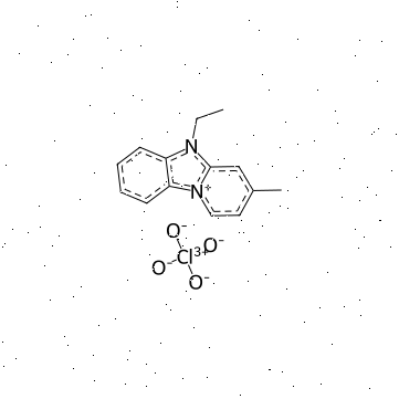 CCn1c2ccccc2[n+]2ccc(C)cc12.[O-][Cl+3]([O-])([O-])[O-]